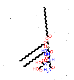 CCCCCCCCCCCCCCCC(=O)OC[C@H](CSC[C@H](NC(=O)CCCCCCCCCCCCC)C(=O)NCC(=O)N[C@@H](CCC(N)=O)C(=O)N[C@H](CCC(=O)O)C(=O)O)OC(=O)CCCCCCCCCCCCCCC